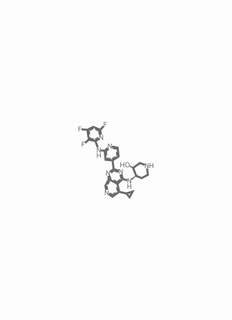 O[C@H]1CNCC[C@H]1Nc1nc(-c2ccnc(Nc3nc(F)cc(F)c3F)c2)nc2cncc(C3CC3)c12